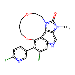 Cn1c(=O)n2c3c4c(c(-c5ccc(F)nc5)c(F)cc4ncc31)OCCCOCC2